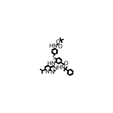 CC(C)c1ccc2c(Nc3cc(C(=O)NC(C)(C)c4ccccc4)ccc3Sc3ccc(NC(=O)OC(C)(C)C)cc3)ncnc2n1